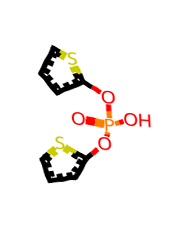 O=P(O)(Oc1cccs1)Oc1cccs1